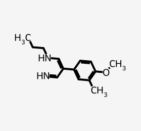 CCCN/C=C(\C=N)c1ccc(OC)c(C)c1